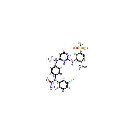 CCS(=O)(=O)c1ccc(OC)c(Nc2nccc(N(C)c3ccc(N(C(N)=O)c4cccc(F)c4)cc3)n2)c1